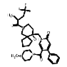 CC(CC(F)(F)F)C(=O)N1CC[C@](O)(Cn2cc(C(=O)N3CCN(C)CC3)c(-c3ccccc3)cc2=O)C2(CCCC2)C1